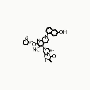 C=C(F)C(=O)N1[C@H](C)CN(c2c(C#N)c(OC[C@@H]3CCCN3C)nc3c2CCN(c2cccc4cc(O)ccc24)C3)C[C@@H]1C